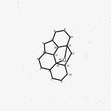 C1CC2CCC3CC4CCCC56CC(C1)C2(O5)C3C46